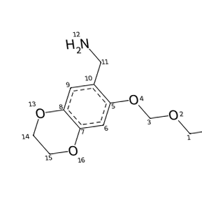 CCOCOc1cc2c(cc1CN)OCCO2